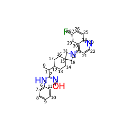 CC(C(=NO)Nc1ccccc1)C1CCC2(CC1)CN(c1ccnc3ccc(F)cc13)C2